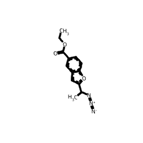 CCOC(=O)c1ccc2oc(C(C)N=[N+]=[N-])cc2c1